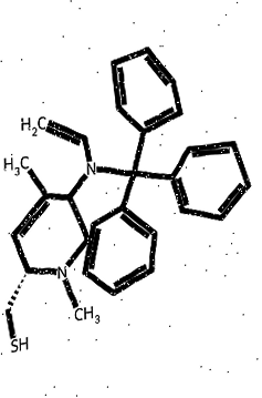 C=CN(C1CN(C)[C@H](CS)C=C1C)C(c1ccccc1)(c1ccccc1)c1ccccc1